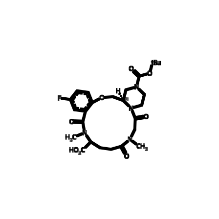 CN1CC(=O)N2CCN(C(=O)OC(C)(C)C)C[C@@H]2COc2ccc(F)cc2C(=O)N(C)C(C(=O)O)CCC1=O